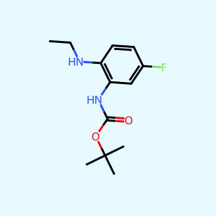 CCNc1ccc(F)cc1NC(=O)OC(C)(C)C